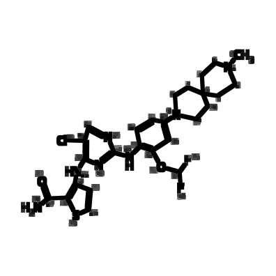 CN1CCC2(CC1)CCN(c1ccc(Nc3ncc(Cl)c(Nc4ccsc4C(N)=O)n3)c(OC(F)F)c1)CC2